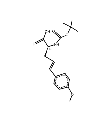 COc1ccc(C=CC[C@H](NC(=O)OC(C)(C)C)C(=O)O)cc1